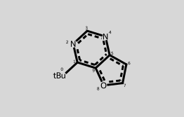 CC(C)(C)c1ncnc2ccoc12